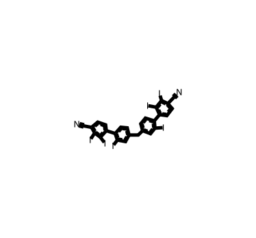 N#Cc1ccc(-c2ccc(Cc3ccc(-c4ccc(C#N)c(I)c4I)c(I)c3)cc2I)c(I)c1I